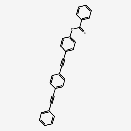 O=C(Oc1ccc(C#Cc2ccc(C#Cc3ccccc3)cc2)cc1)c1ccccc1